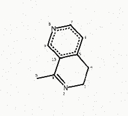 CC1=NCCc2ccncc21